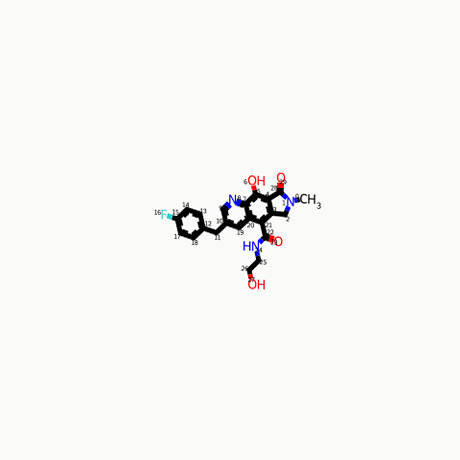 CN1Cc2c(c(O)c3ncc(Cc4ccc(F)cc4)cc3c2C(=O)NCCO)C1=O